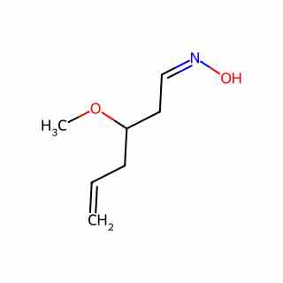 C=CCC(C/C=N\O)OC